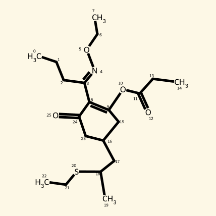 CCC/C(=N\OCC)C1=C(OC(=O)CC)CC(CC(C)SCC)CC1=O